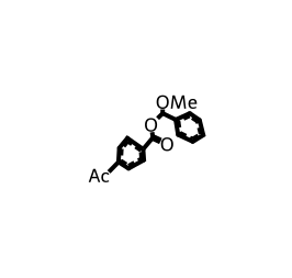 COC(OC(=O)c1ccc(C(C)=O)cc1)c1ccccc1